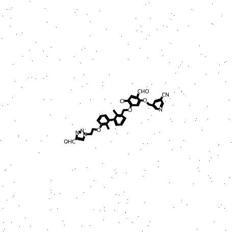 Cc1c(COc2cc(OCc3cncc(C#N)c3)c(C=O)cc2Cl)cccc1-c1cccc(OCCn2cc(C=O)nn2)c1C